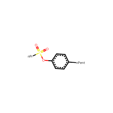 CCCCCc1ccc(OS(=O)(=O)CCC)cc1